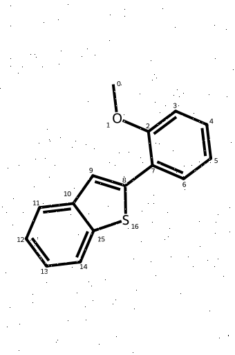 COc1ccccc1-c1cc2ccccc2s1